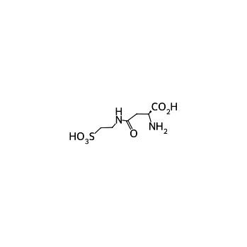 N[C@@H](CC(=O)NCCS(=O)(=O)O)C(=O)O